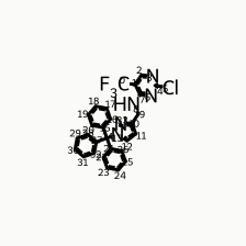 FC(F)(F)c1cnc(Cl)nc1NCc1ccn(C(c2ccccc2)(c2ccccc2)c2ccccc2)n1